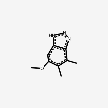 COc1cc2[nH]nnc2c(C)c1C